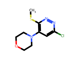 CSc1nnc(Cl)cc1N1CCOCC1